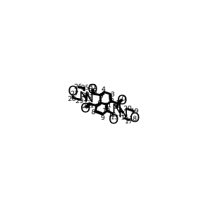 O=C1c2ccc3c4c(ccc(c24)C(=O)N1N1CCOCC1)C(=O)N(N1CCOCC1)C3=O